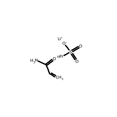 C=CC(N)=O.CCCS(=O)(=O)[O-].[Li+]